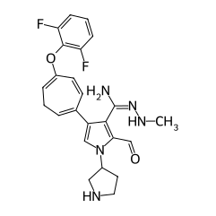 CN/N=C(/N)c1c(C2=CCC=C(Oc3c(F)cccc3F)C=C2)cn(C2CCNC2)c1C=O